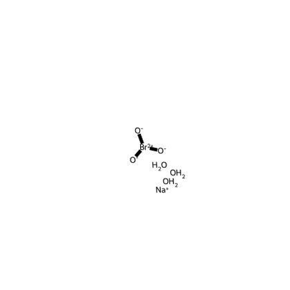 O.O.O.[Na+].[O-][Br+2]([O-])[O-]